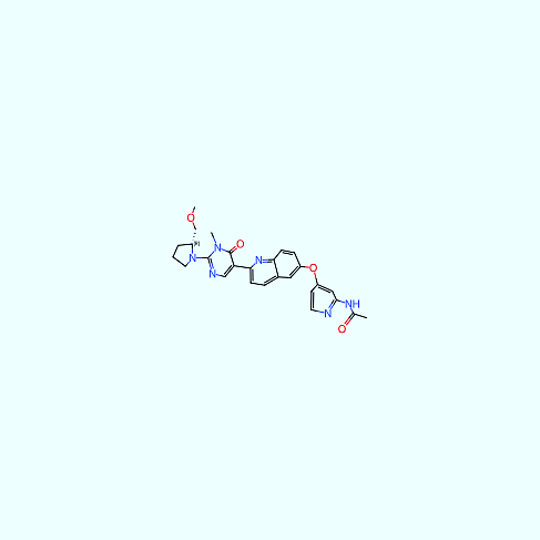 COC[C@H]1CCCN1c1ncc(-c2ccc3cc(Oc4ccnc(NC(C)=O)c4)ccc3n2)c(=O)n1C